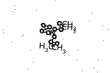 CC1(C)c2ccccc2-c2c(-c3cccc(N(c4cccc(-c5cccc6c5-c5ccccc5C6(C)C)c4)c4ccc5c(c4)C4(c6ccccc6-c6ccccc64)c4ccccc4-5)c3)cccc21